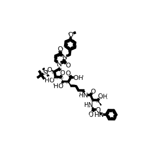 COc1ccc(Cn2c(=O)ccn([C@@H]3O[C@H](C(O)[C@H](CCCCNC(=O)[C@@H](NC(=O)ONc4ccccc4)[C@H](C)O)C(=O)O)[C@@H](O)[C@H]3O[Si](C)(C)C(C)(C)C)c2=O)cc1